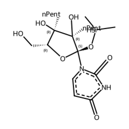 CCCCC[C@]1(O)[C@](O[SiH](C)C)(n2ccc(=O)[nH]c2=O)O[C@H](CO)[C@]1(O)CCCCC